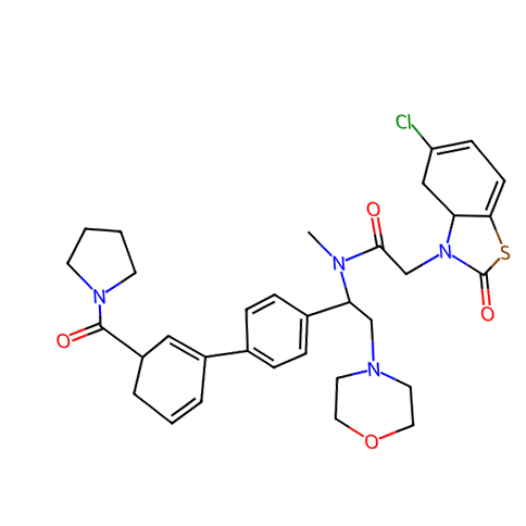 CN(C(=O)CN1C(=O)SC2=CC=C(Cl)CC21)C(CN1CCOCC1)c1ccc(C2=CC(C(=O)N3CCCC3)CC=C2)cc1